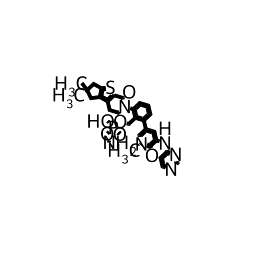 Cn1cc(-c2cccc(N3CCc4c(sc5c4CC(C)(C)C5)C3=O)c2COP(=O)(O)ON)cc(Nc2ccncn2)c1=O